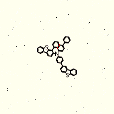 c1ccc(-c2ccc(N(c3ccc(-c4ccc5sc6ccccc6c5c4)cc3)c3ccc4c(sc5ccccc54)c3-c3ccccc3)cc2)cc1